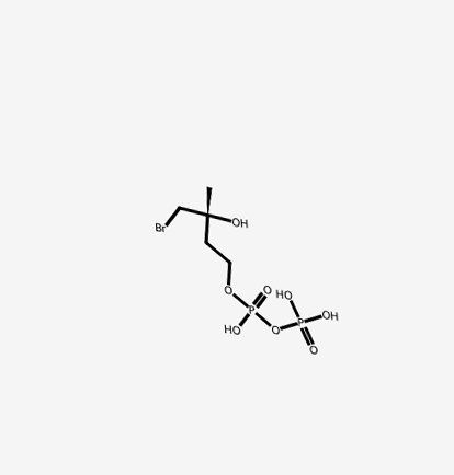 C[C@](O)(CBr)CCOP(=O)(O)OP(=O)(O)O